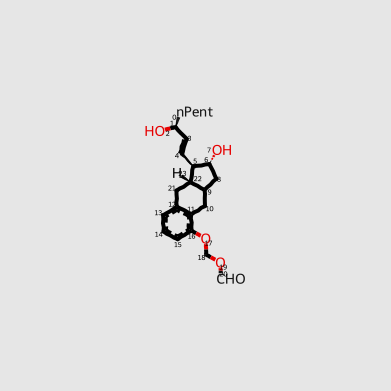 CCCCC[C@H](O)/C=C/[C@H]1[C@H](O)CC2Cc3c(cccc3OCOC=O)C[C@@H]21